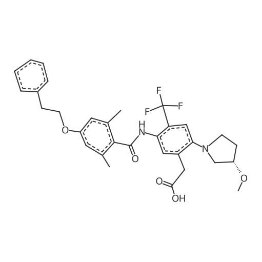 CO[C@H]1CCN(c2cc(C(F)(F)F)c(NC(=O)c3c(C)cc(OCCc4ccccc4)cc3C)cc2CC(=O)O)C1